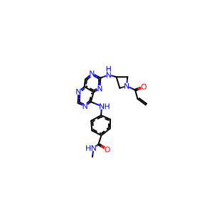 C=CC(=O)N1CC(Nc2ncc3ncnc(Nc4ccc(C(=O)NC)cc4)c3n2)C1